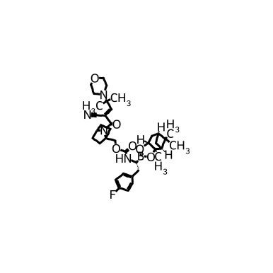 CC1(C)[C@@H]2C[C@H]3OB([C@H](Cc4ccc(F)cc4)NC(=O)OCC45CCC(CC4)N5C(=O)C(C#N)=CC(C)(C)N4CCOCC4)O[C@@]3(C)[C@H]1C2